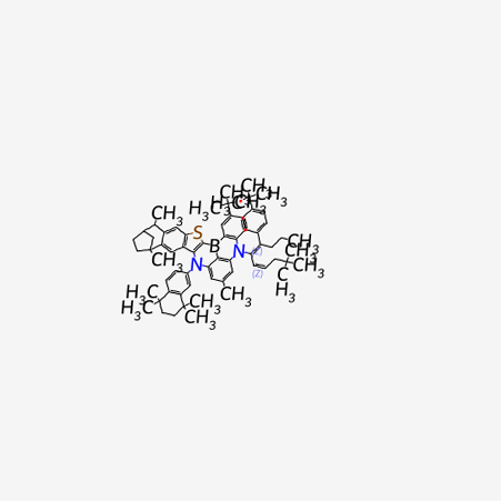 CCC/C(=C(\C=C/CC(C)(C)C)N1c2ccc(C(C)(C)C)cc2B2c3sc4cc5c(cc4c3N(c3ccc4c(c3)C(C)(C)CCC4(C)C)c3cc(C)cc1c32)C1(C)CCC(C1)C5C)c1ccc(C(C)(C)C)cc1